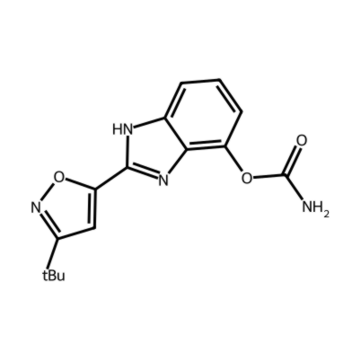 CC(C)(C)c1cc(-c2nc3c(OC(N)=O)cccc3[nH]2)on1